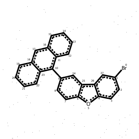 Brc1ccc2oc3ccc(-c4c5ccccc5cc5ccccc45)cc3c2c1